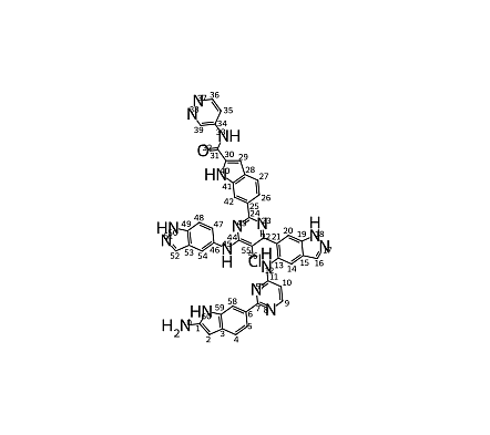 Nc1cc2ccc(-c3nccc(Nc4cc5cn[nH]c5cc4-c4nc(-c5ccc6cc(C(=O)Nc7ccnnc7)[nH]c6c5)nc(Nc5ccc6[nH]ncc6c5)c4Cl)n3)cc2[nH]1